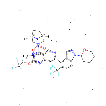 CC(C)(C)OC(=O)N1[C@@H]2CC[C@H]1CN(c1nc(OCC(F)(F)F)nc3c(F)c(-c4c(C(F)(F)F)ccc5c4cnn5C4CCCCO4)ncc13)C2